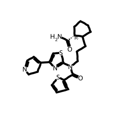 NC(=O)[C@@H]1CCCCC1CCCN(C(=O)c1cccs1)c1nc(C2=CC=NCC2)cs1